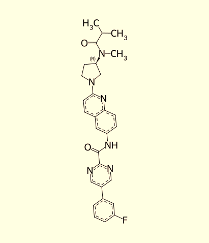 CC(C)C(=O)N(C)[C@@H]1CCN(c2ccc3cc(NC(=O)c4ncc(-c5cccc(F)c5)cn4)ccc3n2)C1